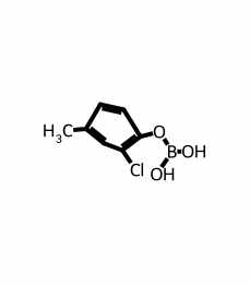 Cc1ccc(OB(O)O)c(Cl)c1